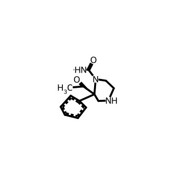 CC(=O)C1(c2ccccc2)CNCCN1C([NH])=O